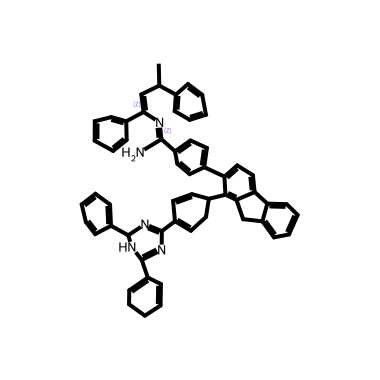 CC(/C=C(\N=C(/N)c1ccc(-c2ccc3c(c2C2C=CC(C4=NC(c5ccccc5)NC(C5=CCCC=C5)=N4)=CC2)Cc2ccccc2-3)cc1)c1ccccc1)c1ccccc1